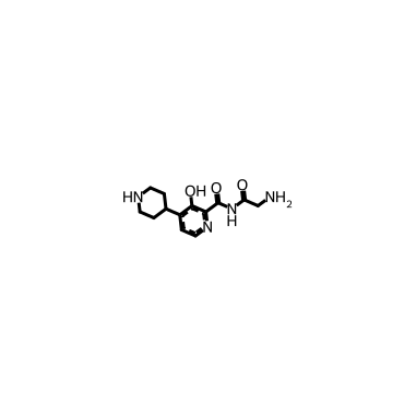 NCC(=O)NC(=O)c1nccc(C2CCNCC2)c1O